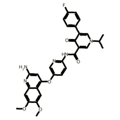 COc1cc2nc(N)cc(Oc3ccc(NC(=O)c4cn(C(C)C)cc(-c5ccc(F)cc5)c4=O)nc3)c2cc1OC